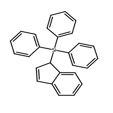 C1=Cc2ccccc2[C]1[Si](c1ccccc1)(c1ccccc1)c1ccccc1